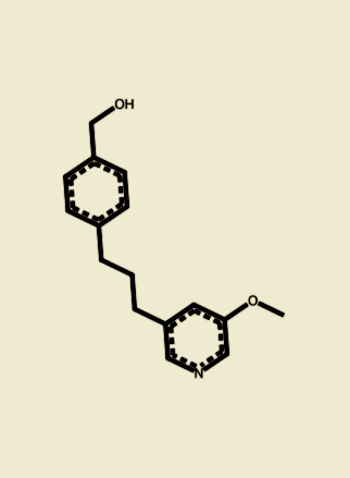 COc1cncc(CCCc2ccc(CO)cc2)c1